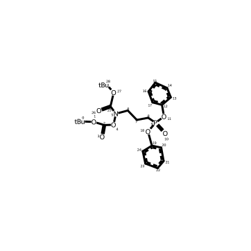 CC(C)(C)OC(=O)ON(CCCP(=O)(Oc1ccccc1)Oc1ccccc1)C(=O)OC(C)(C)C